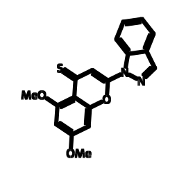 COc1cc(OC)c2c(=S)cc(-n3ncc4ccccc43)oc2c1